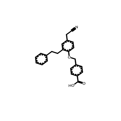 N#CCc1ccc(OCc2ccc(C(=O)O)cc2)c(CCc2ccccc2)c1